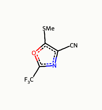 CSc1oc(C(F)(F)F)nc1C#N